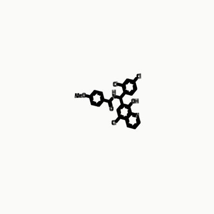 COc1ccc(C(=O)NC(c2ccc(Cl)cc2Cl)c2cc(Cl)c3cccnc3c2O)cc1